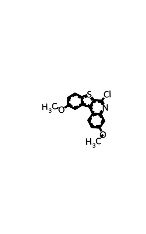 COc1ccc2c(c1)nc(Cl)c1sc3ccc(OC)cc3c12